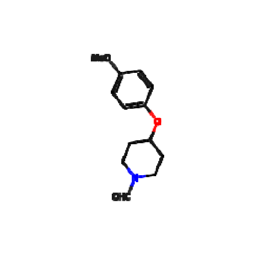 COc1ccc(OC2CCN(C=O)CC2)cc1